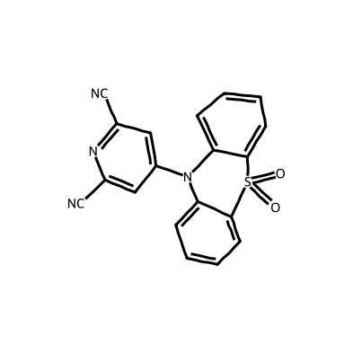 N#Cc1cc(N2c3ccccc3S(=O)(=O)c3ccccc32)cc(C#N)n1